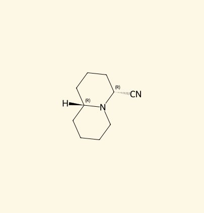 N#C[C@H]1CCC[C@H]2CCCCN21